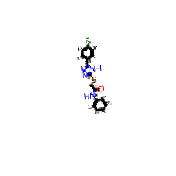 O=C(CSc1nnc(-c2ccc(F)cc2)[nH]1)Nc1ccccc1